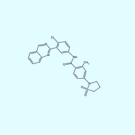 Cc1cc(N2CCCS2(=O)=O)ccc1C(=O)Nc1ccc(Cl)c(-c2ncc3ccccc3n2)c1